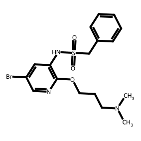 CN(C)CCCOc1ncc(Br)cc1NS(=O)(=O)Cc1ccccc1